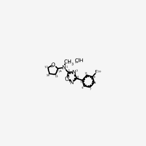 CN(c1nc(-c2cccc(F)c2)no1)C1CCCO1.Cl